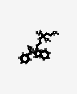 CCCC(C)(C)SCCn1c(N(C)c2ccccc2)nc2ccccc21